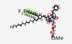 CCC/C=C/CC/C=C/CC/C=C/C1CC(/C=C/C2OC(/C=C/c3ccccc3)[C@@H]3C(=O)N(CCOCCOCCOC)C(=O)[C@H]23)CC1C(F)(F)C(F)(F)C(F)(F)C(F)(F)C(F)(F)C(F)(F)F